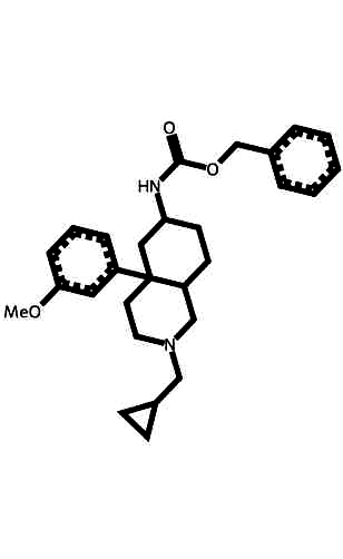 COc1cccc(C23CCN(CC4CC4)CC2CCC(NC(=O)OCc2ccccc2)C3)c1